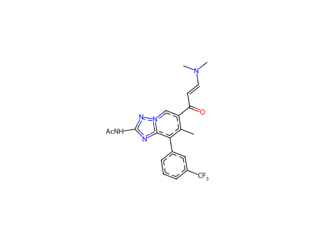 CC(=O)Nc1nc2c(-c3cccc(C(F)(F)F)c3)c(C)c(C(=O)/C=C/N(C)C)cn2n1